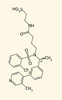 Cc1cnccc1-c1cccc([C@H](C)N(CCCC(=O)NCCS(=O)(=O)O)S(=O)(=O)c2ccccc2C(F)(F)F)c1